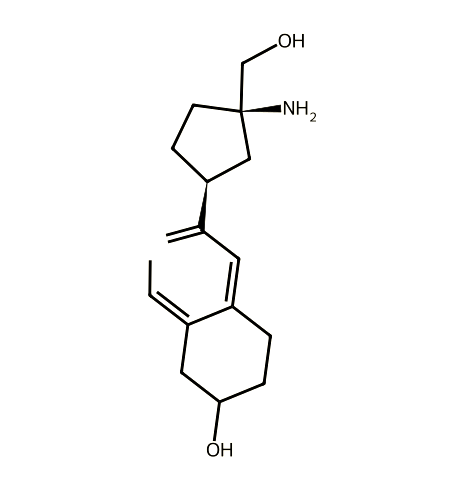 C=C(/C=C1/CCC(O)C/C1=C/C)[C@H]1CC[C@](N)(CO)C1